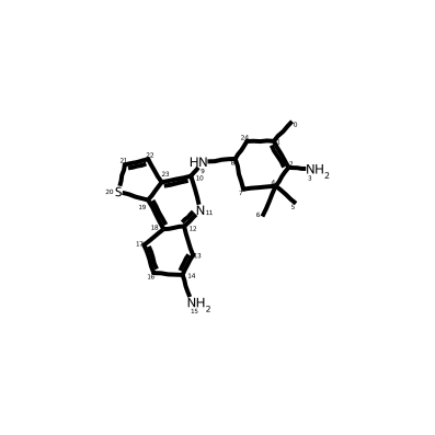 CC1=C(N)C(C)(C)CC(Nc2nc3cc(N)ccc3c3sccc23)C1